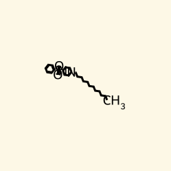 CCCCCCCCCCCCN1CCN(S(=O)(=O)c2ccccc2)CC1